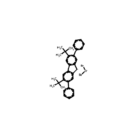 CC(C)(C)c1cc2c(cc1-c1ccccc1)[CH]c1cc(-c3ccccc3)c(C(C)(C)C)cc1-2.[Br][Zr][Br]